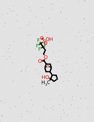 CC1(O)CCCC1C1CC2SC1CC2C(=O)OCCC(F)(F)C(F)(F)S(=O)(=O)O